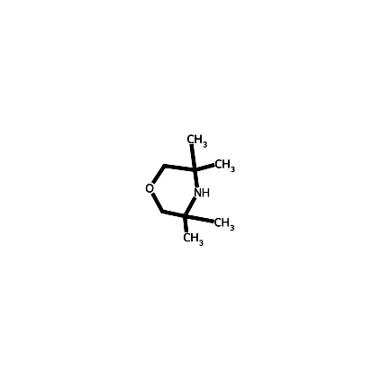 CC1(C)COCC(C)(C)N1